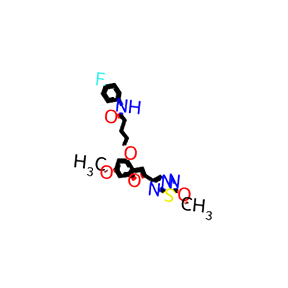 COc1cc(OCCCCC(=O)Nc2ccc(F)cc2)c2cc(-c3cn4nc(OC)sc4n3)oc2c1